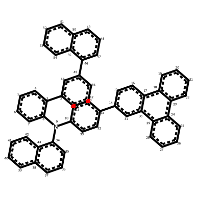 c1cc(-c2ccccc2N(c2ccc(-c3ccc4c5ccccc5c5ccccc5c4c3)cc2)c2cccc3ccccc23)cc(-c2cccc3ccccc23)c1